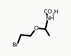 CC(NC(=O)O)OCCBr